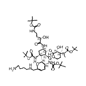 CN(C(=O)OC(C)(C)C)[C@@]1(C)CCO[C@H](O[C@H]2[C@H](NC(=O)[C@@H](O)CCNC(=O)OC(C)(C)C)C[C@H](NC(=O)OC(C)(C)C)C([C@H]3OC(CNCCCCN)=CC[C@H]3NC(=O)OC(C)(C)C)[C@@H]2O)[C@@H]1O